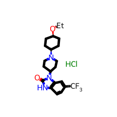 CCO[C@H]1CC[C@@H](N2CCC(n3c(=O)[nH]c4ccc(C(F)(F)F)cc43)CC2)CC1.Cl